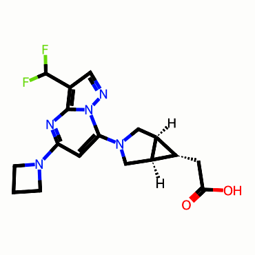 O=C(O)C[C@@H]1[C@H]2CN(c3cc(N4CCC4)nc4c(C(F)F)cnn34)C[C@@H]12